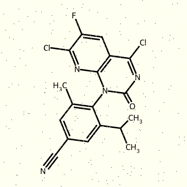 Cc1cc(C#N)cc(C(C)C)c1-n1c(=O)nc(Cl)c2cc(F)c(Cl)nc21